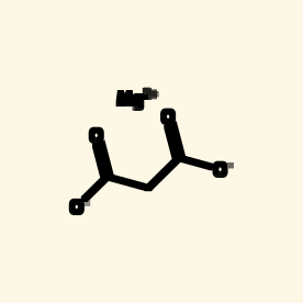 O=C([O-])CC(=O)[O-].[Mg+2]